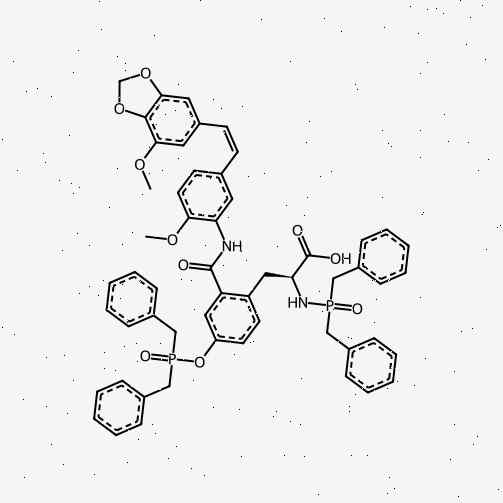 COc1ccc(/C=C\c2cc(OC)c3c(c2)OCO3)cc1NC(=O)c1cc(OP(=O)(Cc2ccccc2)Cc2ccccc2)ccc1C[C@H](NP(=O)(Cc1ccccc1)Cc1ccccc1)C(=O)O